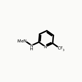 CNNc1cccc(C(F)(F)F)n1